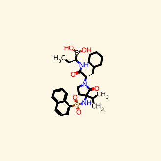 CC[C@H](NC(=O)[C@H](CC1CCCCC1)N1CCC(NS(=O)(=O)c2cccc3ccccc23)(C(C)C)C1=O)B(O)O